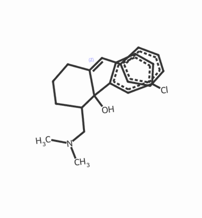 CN(C)CC1CCC/C(=C/c2ccccc2)C1(O)c1cccc(Cl)c1